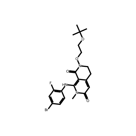 Cn1c(Nc2ccc(Br)cc2F)c2c(cc1=O)CCN(OCCOC(C)(C)C)C2=O